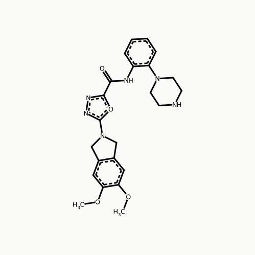 COc1cc2c(cc1OC)CN(c1nnc(C(=O)Nc3ccccc3N3CCNCC3)o1)C2